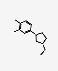 CO[C@@H]1CCN(c2ccc(C)c(F)c2)C1